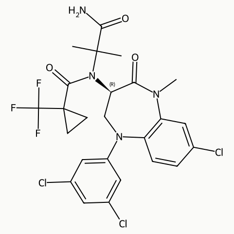 CN1C(=O)[C@H](N(C(=O)C2(C(F)(F)F)CC2)C(C)(C)C(N)=O)CN(c2cc(Cl)cc(Cl)c2)c2ccc(Cl)cc21